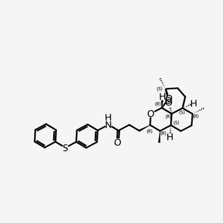 C[C@H]1[C@@H](CCC(=O)Nc2ccc(Sc3ccccc3)cc2)O[C@@H]2O[C@]3(C)CC[C@H]4[C@H](C)CC[C@@H]1[C@@]24OO3